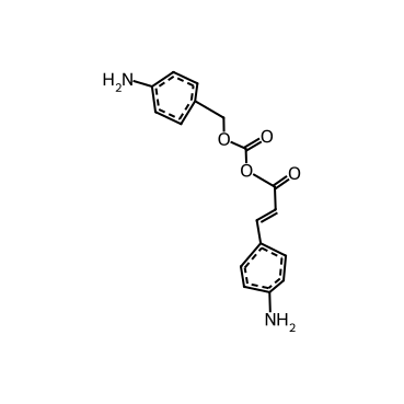 Nc1ccc(/C=C/C(=O)OC(=O)OCc2ccc(N)cc2)cc1